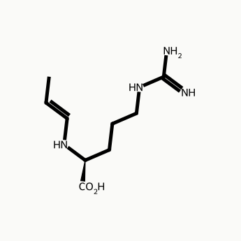 CC=CN[C@@H](CCCNC(=N)N)C(=O)O